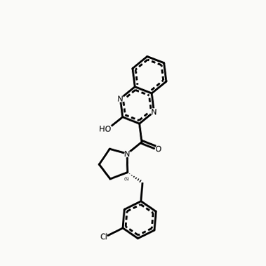 O=C(c1nc2ccccc2nc1O)N1CCC[C@H]1Cc1cccc(Cl)c1